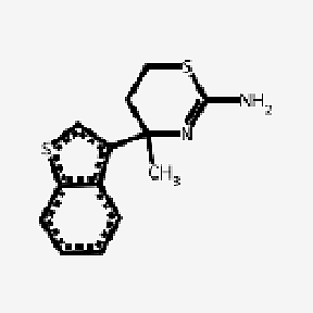 CC1(c2csc3ccccc23)CCSC(N)=N1